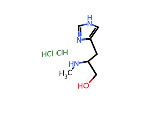 CNC(CO)Cc1c[nH]cn1.Cl.Cl